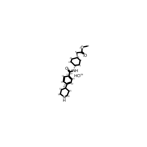 COC(=O)C[C@H]1CC[C@H](NC(=O)c2ccc(C3CCNCC3)cc2)CC1.Cl